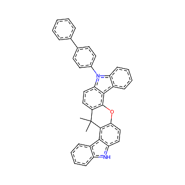 CC1(C)c2ccc3c(c2Oc2ccc4[nH]c5ccccc5c4c21)c1ccccc1n3-c1ccc(-c2ccccc2)cc1